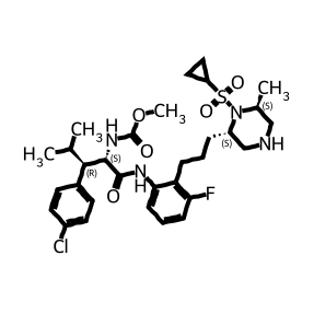 COC(=O)N[C@H](C(=O)Nc1cccc(F)c1CCC[C@H]1CNC[C@H](C)N1S(=O)(=O)C1CC1)[C@@H](c1ccc(Cl)cc1)C(C)C